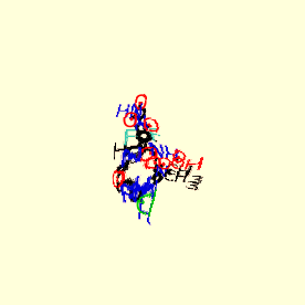 CNC(=O)COc1cc2cc(Nc3nc(N4CCC(OC5CC(N6CCC(c7cc(F)c8c(c7F)CN(C7CCC(=O)NC7=O)C8=O)CC6)C5)CC4)ncc3Cl)ccc2n(C(C)C)c1=O.O=CO